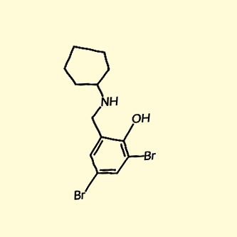 Oc1c(Br)cc(Br)cc1CNC1CCCCC1